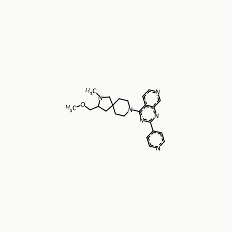 COCC1CC2(CCN(c3nc(-c4ccncc4)nc4cnccc34)CC2)CN1C